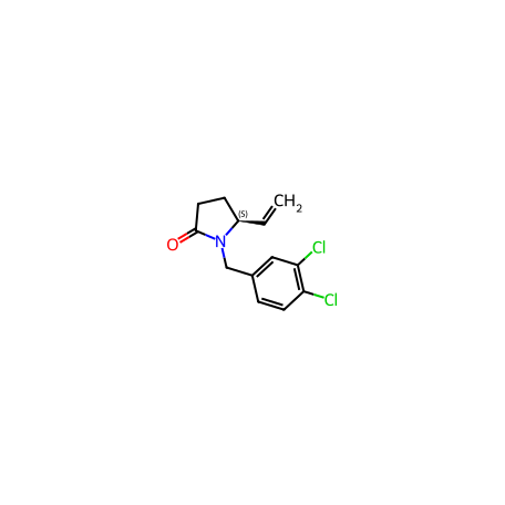 C=C[C@@H]1CCC(=O)N1Cc1ccc(Cl)c(Cl)c1